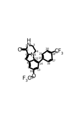 O=C1NCCn2c1cc1cc(OC(F)(F)F)cc(-c3ccc(C(F)(F)F)cc3)c12